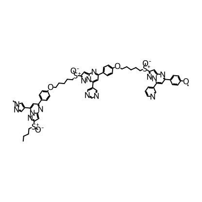 CCCC[S+]([O-])c1cc2nc(-c3ccc(OCCCCC[S+]([O-])c4cc5nc(-c6ccc(OCCCCC[S+]([O-])c7cc8nc(-c9ccc(OC)cc9)cc(-c9cccnc9)n8n7)cc6)cc(-c6cncnc6)n5n4)cc3)cc(-c3cnn(C)c3)n2n1